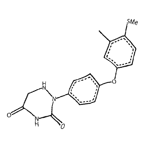 CSc1ccc(Oc2ccc(N3NCC(=O)NC3=O)cc2)cc1C